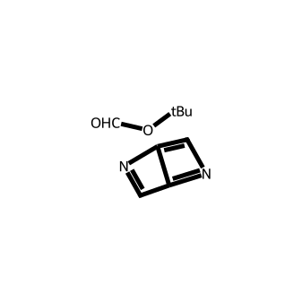 CC(C)(C)OC=O.c1nc2cnc1-2